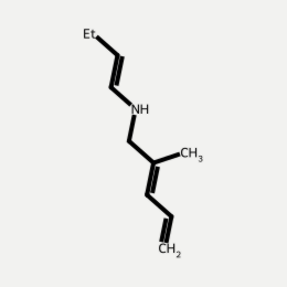 C=C/C=C(\C)CN/C=C/CC